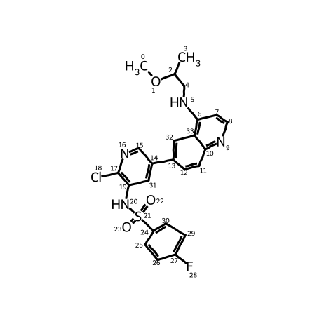 COC(C)CNc1ccnc2ccc(-c3cnc(Cl)c(NS(=O)(=O)c4ccc(F)cc4)c3)cc12